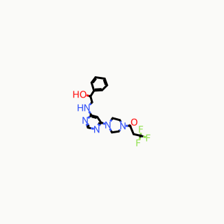 O=C(CC(F)(F)F)N1CCN(c2cc(NCC(O)c3ccccc3)ncn2)CC1